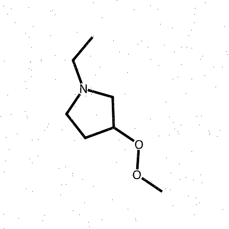 CCN1CCC(OOC)C1